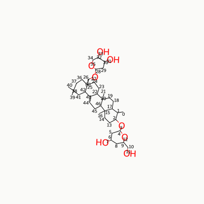 CC1C(OC2CC(O)CC(CO)O2)CCC2(C)C1CCC1(C)C3CC[C@@]4(COC5CC(O)C(O)CO5)CCC(C)(C)CC4C3=CCC12